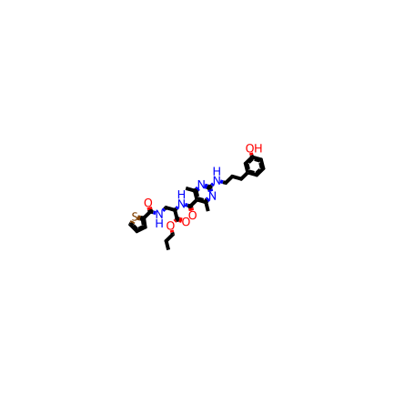 CCCOC(=O)C(CNC(=O)c1cccs1)NC(=O)c1c(C)nc(NCCCc2cccc(O)c2)nc1C